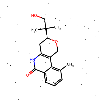 Cc1cccc2c(=O)[nH]c3c(c12)CO[C@H](C(C)(C)CO)C3